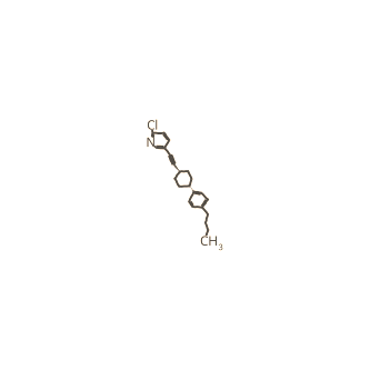 CCCCc1ccc([C@H]2CC[C@H](C#Cc3ccc(Cl)nc3)CC2)cc1